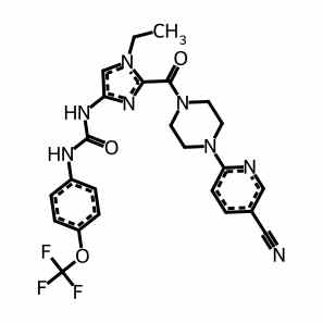 CCn1cc(NC(=O)Nc2ccc(OC(F)(F)F)cc2)nc1C(=O)N1CCN(c2ccc(C#N)cn2)CC1